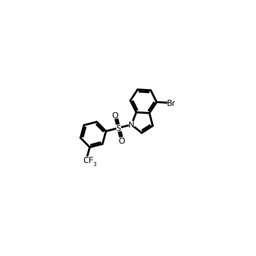 O=S(=O)(c1cccc(C(F)(F)F)c1)n1ccc2c(Br)cccc21